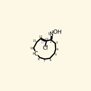 ON=C1CCCCCCCCC/C=C/1Cl